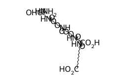 NN[C@H](C=O)CCCCNC(=O)COCCOCCNC(=O)COCCOCCNC(=O)CC[C@H](NC(=O)CCCCCCCCCCCCC(=O)O)C(=O)O